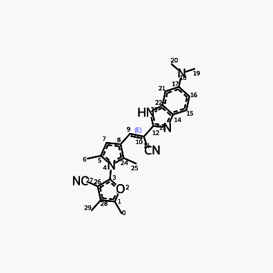 Cc1oc(-n2c(C)cc(/C=C(\C#N)c3nc4ccc(N(C)C)cc4[nH]3)c2C)c(C#N)c1C